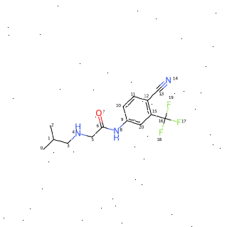 CC(C)CNCC(=O)Nc1ccc(C#N)c(C(F)(F)F)c1